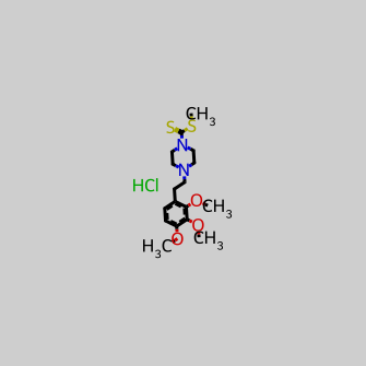 COc1ccc(CCN2CCN(C(=S)SC)CC2)c(OC)c1OC.Cl